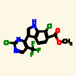 COC(=O)c1ccc2c(-c3nc(Cl)ncc3C(F)(F)F)c[nH]c2c1Cl